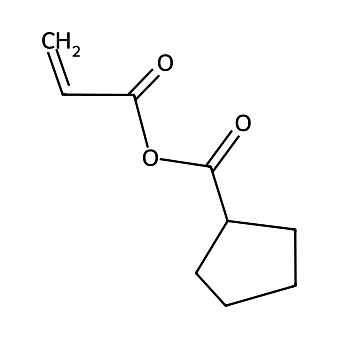 C=CC(=O)OC(=O)C1CCCC1